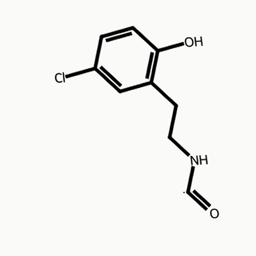 O=[C]NCCc1cc(Cl)ccc1O